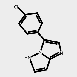 Clc1ccc(-c2cnc3cc[nH]n23)cc1